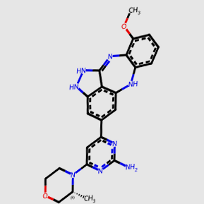 COc1cccc2c1N=C1NNc3cc(-c4cc(N5CCOC[C@H]5C)nc(N)n4)cc(c31)N2